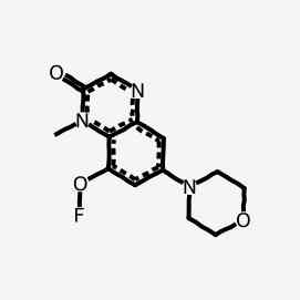 Cn1c(=O)cnc2cc(N3CCOCC3)cc(OF)c21